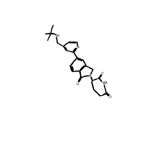 CC(C)(C)NCc1ccnc(-c2ccc3c(c2)CN(C2CCC(=O)NC2=O)C3=O)c1